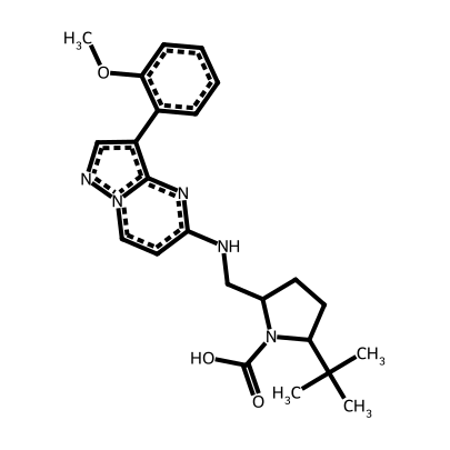 COc1ccccc1-c1cnn2ccc(NCC3CCC(C(C)(C)C)N3C(=O)O)nc12